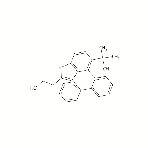 CCCC1=Cc2c(ccc(C(C)(C)C)c2-c2ccccc2-c2ccccc2)[CH]1